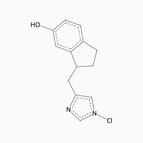 Oc1ccc2c(c1)C(Cc1cn(Cl)cn1)CC2